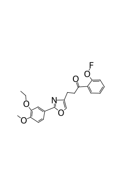 CCOc1cc(-c2nc(CCC(=O)c3ccccc3OF)co2)ccc1OC